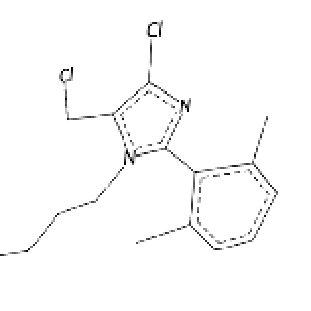 CCCCn1c(-c2c(C)cccc2C)nc(Cl)c1CCl